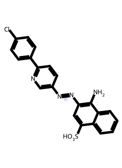 Nc1c(/N=N/c2ccc(-c3ccc(Cl)cc3)nc2)cc(S(=O)(=O)O)c2ccccc12